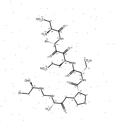 CC(C)C[C@@H](C=O)NCN[C@@H](C)C(=O)CN1CCC[C@H]1C(=O)N[C@@H](CC(=O)O)C(=O)N[C@@H](CCC(=O)O)C(=O)C(=O)[C@@H](NC(=O)[C@@H](N)CC(=O)O)C(C)C